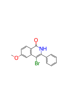 COc1ccc2c(=O)[nH]c(-c3ccccc3)c(Br)c2c1